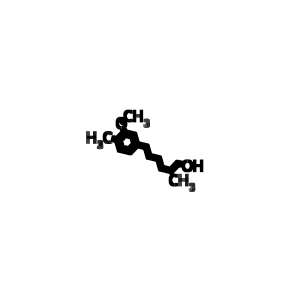 COc1cc(CCCC[C@H](C)CO)ccc1C